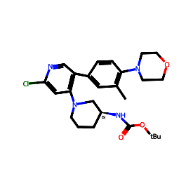 Cc1cc(-c2cnc(Cl)cc2N2CCC[C@H](NC(=O)OC(C)(C)C)C2)ccc1N1CCOCC1